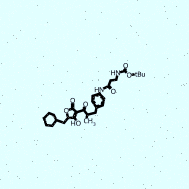 CC(Cc1ccc(NC(=O)CCNC(=O)OC(C)(C)C)cc1)C(=O)C1=C(O)C(CC2CCCCC2)OC1=O